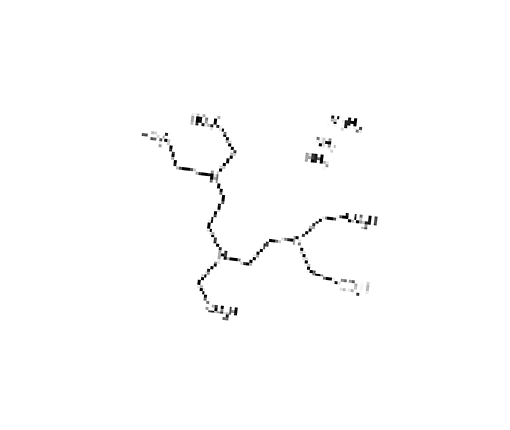 N.N.O=C(O)CN(CCN(CC(=O)O)CC(=O)O)CCN(CC(=O)O)CC(=O)O.[MgH2]